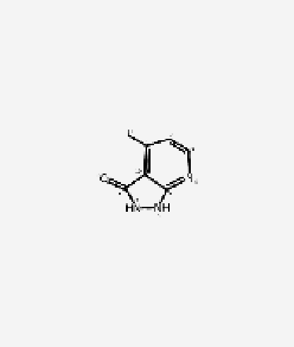 Cc1ccnc2[nH][nH]c(=O)c12